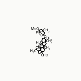 C=C(C)[C@@H]1CC[C@]2(CC=O)CC[C@]3(C)C(CCC4[C@@]5(C)CC[C@H](OC(=O)CC(C)(C)CC(=O)OC)C(C)(C)C5CC[C@]43C)C12